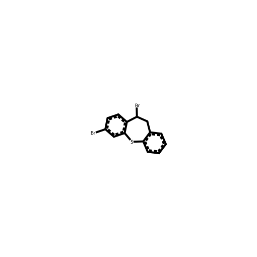 Brc1ccc2c(c1)Sc1ccccc1CC2Br